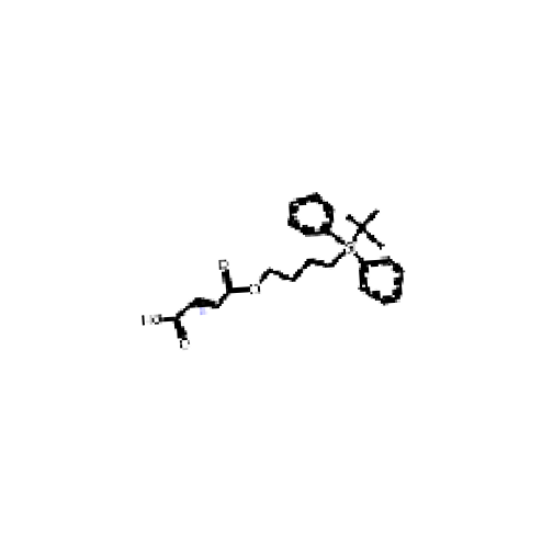 CC(C)(C)[Si](CCCCOC(=O)/C=C/C(=O)O)(c1ccccc1)c1ccccc1